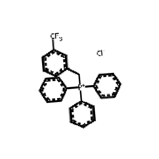 FC(F)(F)c1cccc(C[P+](c2ccccc2)(c2ccccc2)c2ccccc2)c1.[Cl-]